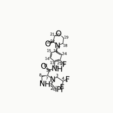 CC(C)CN(CC(F)F)[C@@H](CN)C(=O)Nc1ccc(N2CCOCC2=O)cc1F